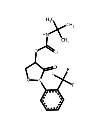 CC(C)(C)NC(=O)OC1CON(c2ccccc2C(F)(F)F)C1=O